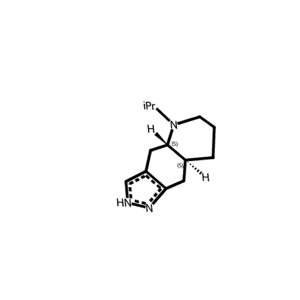 CC(C)N1CCC[C@H]2Cc3n[nH]cc3C[C@@H]21